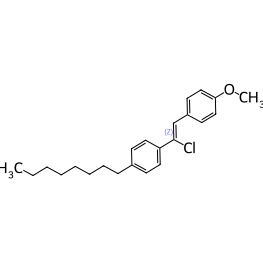 CCCCCCCCc1ccc(/C(Cl)=C/c2ccc(OC)cc2)cc1